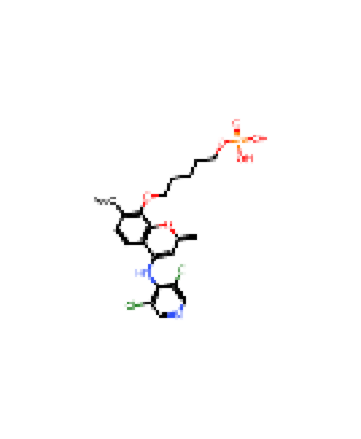 C=C1C=C(Nc2c(Cl)cncc2Cl)c2ccc(OC)c(OCCCCCOP(=O)(O)O)c2O1